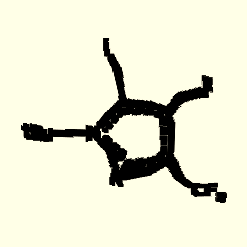 CC(C)(C)n1nc(C(F)(F)F)c(F)c1I